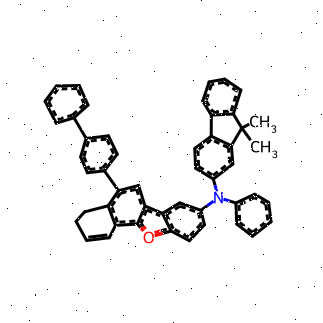 CC1(C)c2ccccc2-c2ccc(N(c3ccccc3)c3ccc4oc5c6c(c(-c7ccc(-c8ccccc8)cc7)cc5c4c3)CCC=C6)cc21